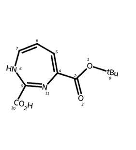 CC(C)(C)OC(=O)C1=CC=CNC(C(=O)O)=N1